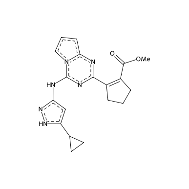 COC(=O)C1=C(c2nc(Nc3cc(C4CC4)[nH]n3)n3cccc3n2)CCC1